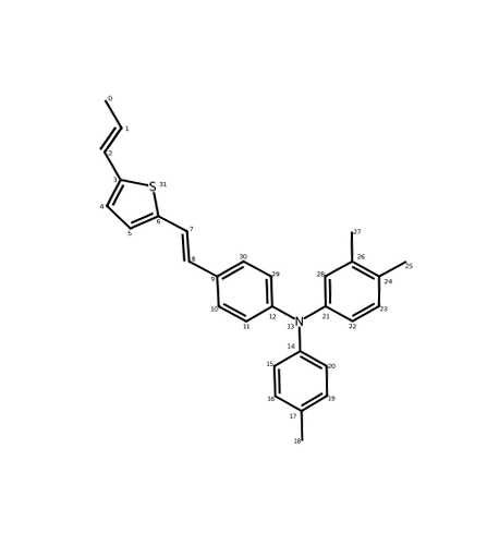 CC=Cc1ccc(C=Cc2ccc(N(c3ccc(C)cc3)c3ccc(C)c(C)c3)cc2)s1